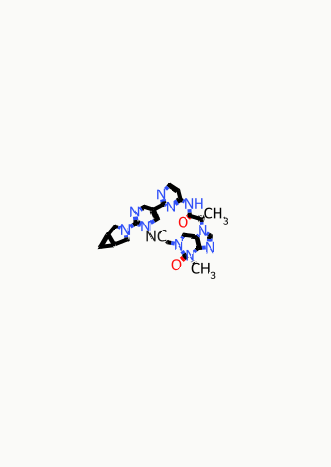 C[C@@H](C(=O)Nc1ccnc(-c2cnc(N3CC4CC4C3)nc2)n1)n1cnc2c1CN(CC#N)C(=O)N2C